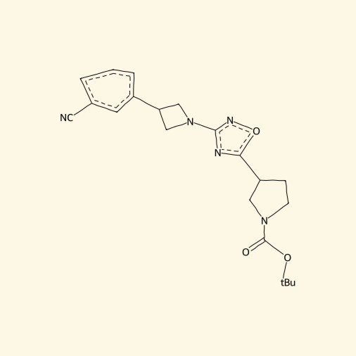 CC(C)(C)OC(=O)N1CCC(c2nc(N3CC(c4cccc(C#N)c4)C3)no2)C1